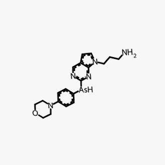 NCCCn1ccc2cnc([AsH]c3ccc(N4CCOCC4)cc3)nc21